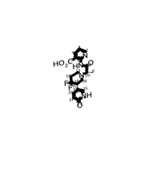 C[C@@H](C(=O)Nc1ncccc1C(=O)O)N1CCC(F)(F)[C@@H](c2ccc(=O)[nH]c2)C1